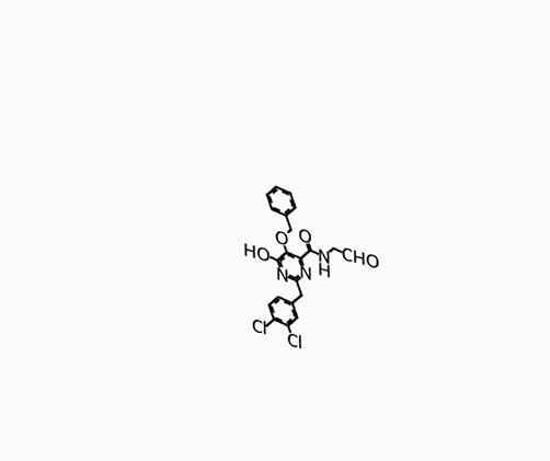 O=CCNC(=O)c1nc(Cc2ccc(Cl)c(Cl)c2)nc(O)c1OCc1ccccc1